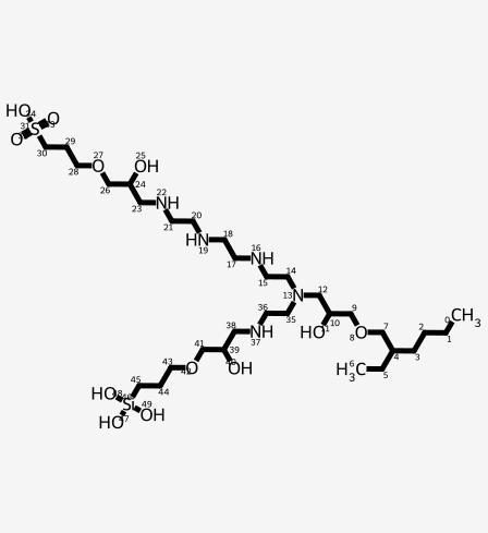 CCCCC(CC)COCC(O)CN(CCNCCNCCNCC(O)COCCCS(=O)(=O)O)CCNCC(O)COCCC[Si](O)(O)O